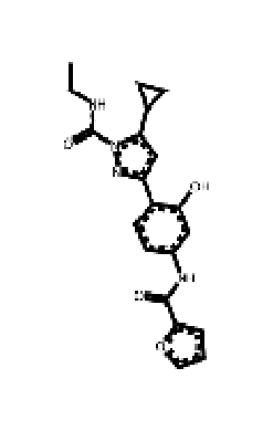 CCNC(=O)n1nc(-c2ccc(NC(=O)c3ccco3)cc2O)cc1C1CC1